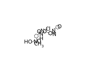 CN(CCO)C(=O)C1CCCC(C(=O)Nc2cc(-c3ccc4ncn(CC5CCOCC5)c4c3)c(Cl)cn2)C1